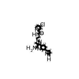 Nc1nc2cc(-c3cc[nH]n3)ccc2c2nn(CCNC(=O)c3cc(Cl)ccn3)cc12